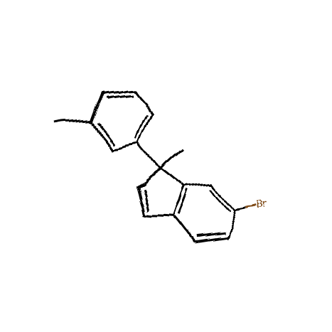 Cc1cccc(C2(C)C=Cc3ccc(Br)cc32)c1